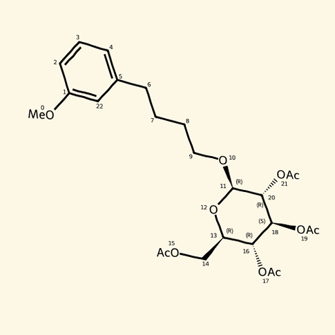 COc1cccc(CCCCO[C@@H]2O[C@H](COC(C)=O)[C@@H](OC(C)=O)[C@H](OC(C)=O)[C@H]2OC(C)=O)c1